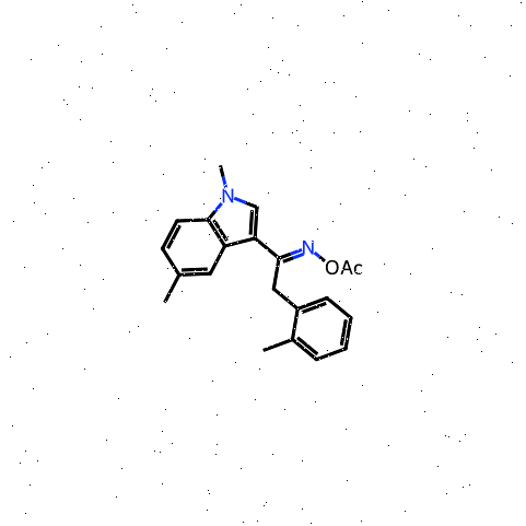 CC(=O)O/N=C(\Cc1ccccc1C)c1cn(C)c2ccc(C)cc12